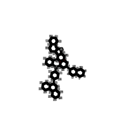 c1cc(-c2ccc3ccccc3c2)cc(N(c2ccc(-c3cc4ccccc4c4ccccc34)cc2)c2ccccc2-c2cccc3oc4c5ccccc5ccc4c23)c1